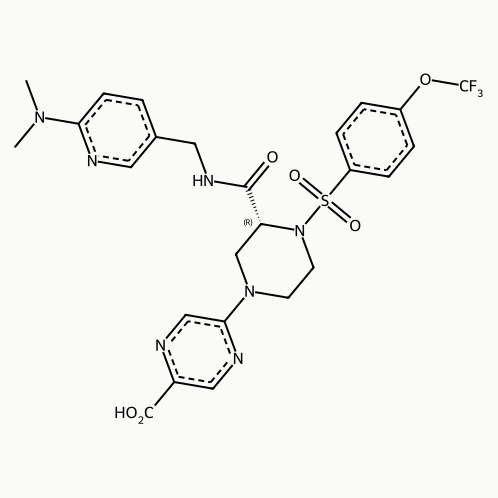 CN(C)c1ccc(CNC(=O)[C@H]2CN(c3cnc(C(=O)O)cn3)CCN2S(=O)(=O)c2ccc(OC(F)(F)F)cc2)cn1